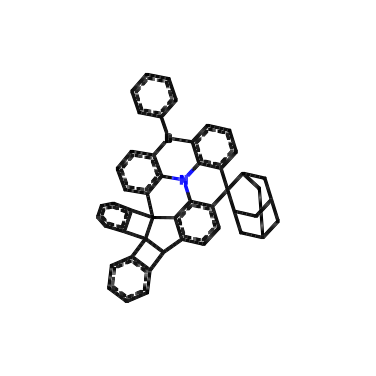 c1ccc(B2c3cccc4c3N3c5c2cccc5C25c6ccccc6C26c2ccccc2C6c2ccc(c3c25)C42C3CC4CC(C3)CC2C4)cc1